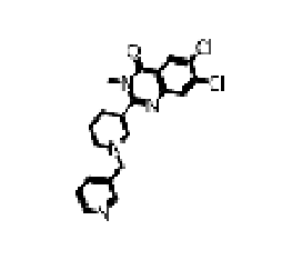 Cn1c([C@@H]2CCCN(Cc3cccnc3)C2)nc2cc(Cl)c(Cl)cc2c1=O